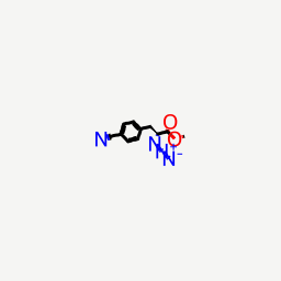 COC(=O)[C@H](Cc1ccc(C#N)cc1)N=[N+]=[N-]